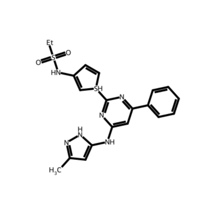 CCS(=O)(=O)NC1=C[SH](c2nc(Nc3cc(C)n[nH]3)cc(-c3ccccc3)n2)C=C1